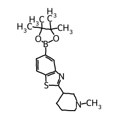 CN1CCCC(c2nc3cc(B4OC(C)(C)C(C)(C)O4)ccc3s2)C1